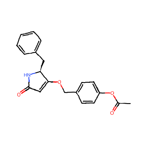 CC(=O)Oc1ccc(COC2=CC(=O)N[C@H]2Cc2ccccc2)cc1